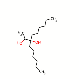 CCCCCCC(O)(CCCCCC)C(C)O